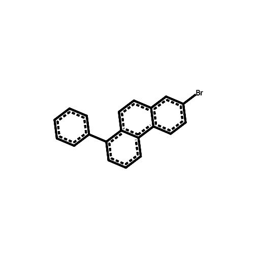 Brc1ccc2c(ccc3c(-c4ccccc4)cccc32)c1